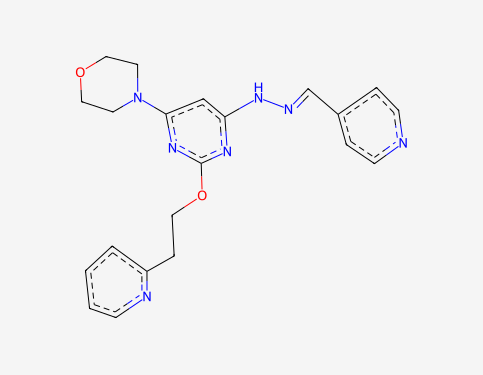 C(=N\Nc1cc(N2CCOCC2)nc(OCCc2ccccn2)n1)/c1ccncc1